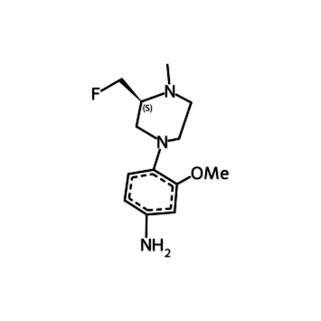 COc1cc(N)ccc1N1CCN(C)[C@H](CF)C1